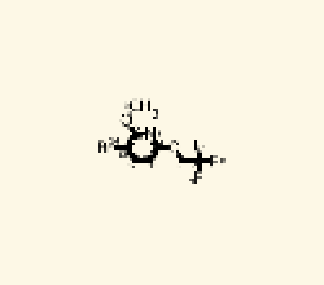 COc1nc(OCC(F)(F)F)ccc1Br